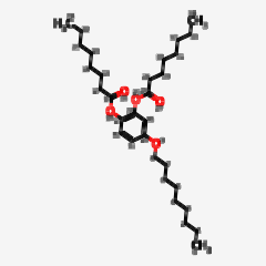 CCCCCCCCCOc1ccc(OC(=O)CCCCCCC)c(OC(=O)CCCCCCC)c1